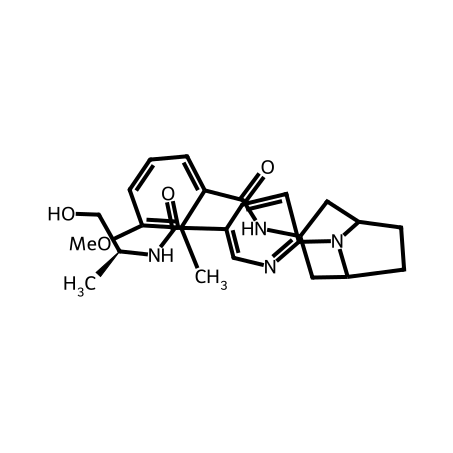 COc1cccc(C(=O)NC2CC3CCC(C2)N3c2ccc(C(=O)N[C@@H](C)CO)cn2)c1C